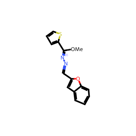 CO/C(=N\N=Cc1cc2ccccc2o1)c1cccs1